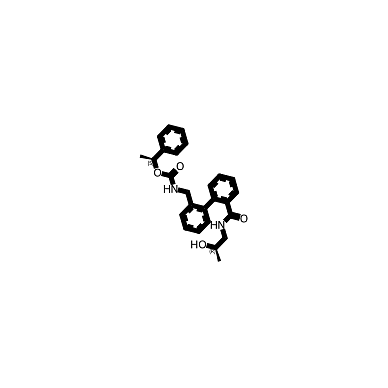 C[C@H](OC(=O)NCc1ccccc1-c1ccccc1C(=O)NC[C@@H](C)O)c1ccccc1